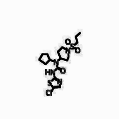 CCCS(=O)(=O)N1CCC(N(C(=O)Nc2ncc(Cl)s2)C2CCCC2)CC1